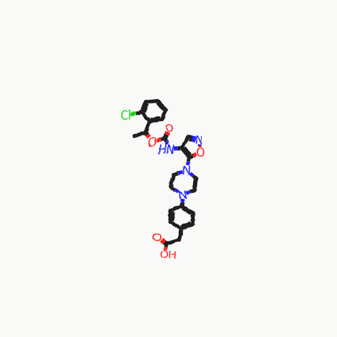 CC(OC(=O)Nc1cnoc1N1CCN(c2ccc(CC(=O)O)cc2)CC1)c1ccccc1Cl